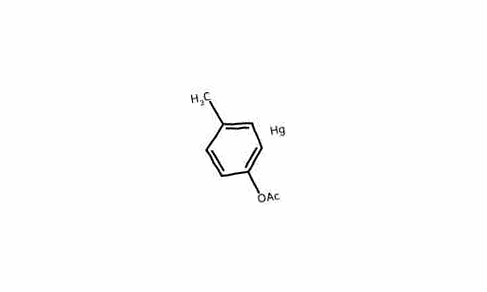 CC(=O)Oc1ccc(C)cc1.[Hg]